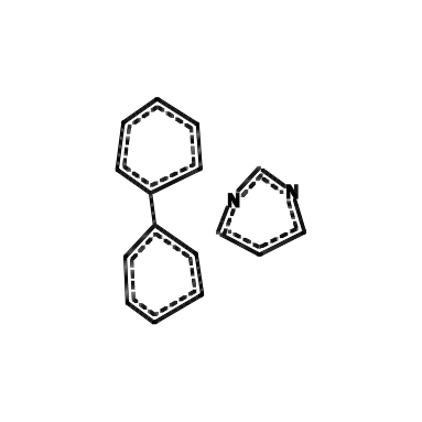 c1ccc(-c2ccccc2)cc1.c1cncnc1